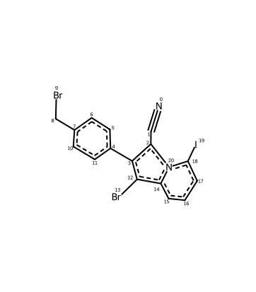 N#Cc1c(-c2ccc(CBr)cc2)c(Br)c2cccc(I)n12